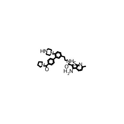 Cc1ccc2c(N)c(C(=O)NCCc3ccc(N4CCNCC4)c(-c4ccc(C(=O)N5CCCC5)cc4)c3)sc2n1